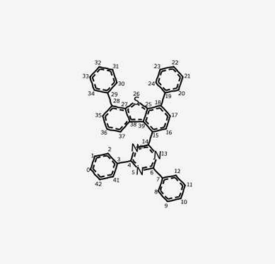 c1ccc(-c2nc(-c3ccccc3)nc(-c3ccc(-c4ccccc4)c4sc5c(-c6ccccc6)cccc5c34)n2)cc1